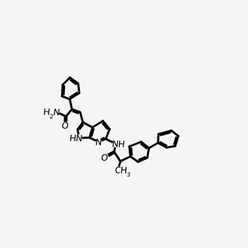 CC(C(=O)Nc1ccc2c(C=C(C(N)=O)c3ccccc3)c[nH]c2n1)c1ccc(-c2ccccc2)cc1